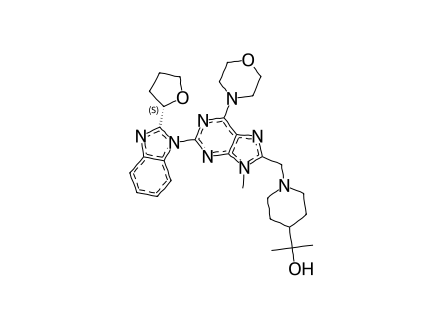 Cn1c(CN2CCC(C(C)(C)O)CC2)nc2c(N3CCOCC3)nc(-n3c([C@@H]4CCCO4)nc4ccccc43)nc21